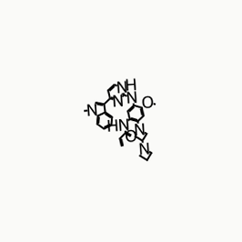 C=CC(=O)Nc1cc(Nc2nccc(-c3cn(C)c4ccccc34)n2)c(OC)cc1N1CC(N2CCC2)C1